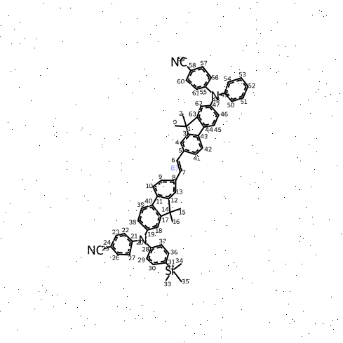 CC1(C)c2cc(/C=C/c3ccc4c(c3)C(C)(C)c3cc(N(c5ccc(C#N)cc5)c5ccc([Si](C)(C)C)cc5)ccc3-4)ccc2-c2ccc(N(c3ccccc3)c3ccc(C#N)cc3)cc21